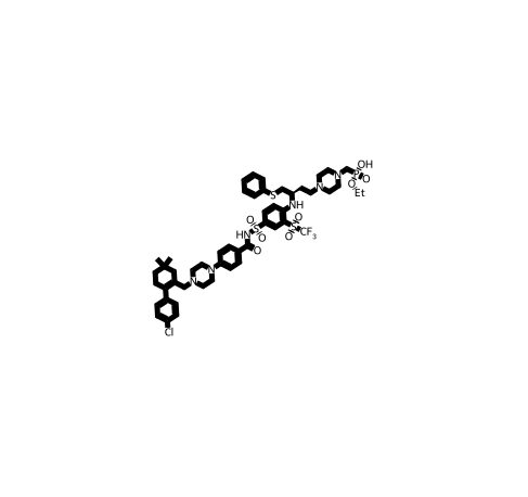 CCOP(=O)(O)CN1CCN(CC[C@H](CSc2ccccc2)Nc2ccc(S(=O)(=O)NC(=O)c3ccc(N4CCN(CC5=C(c6ccc(Cl)cc6)CCC(C)(C)C5)CC4)cc3)cc2S(=O)(=O)C(F)(F)F)CC1